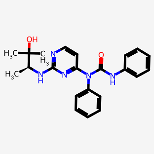 C[C@H](Nc1nccc(N(C(=O)Nc2ccccc2)c2ccccc2)n1)C(C)(C)O